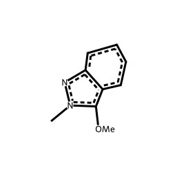 COc1c2ccccc2nn1C